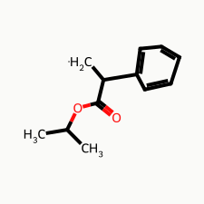 [CH2]C(C(=O)OC(C)C)c1ccccc1